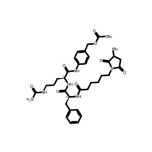 CC(C)(C)C(=O)OCc1ccc(NC(=O)[C@H](CCCNC(N)=O)NC(=O)[C@H](Cc2ccccc2)NC(=O)CCCCCN2C(=O)CC(C(C)(C)C)C2=O)cc1